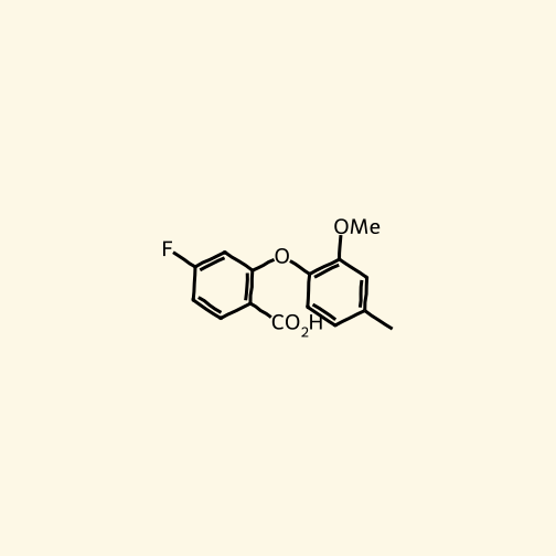 COc1cc(C)ccc1Oc1cc(F)ccc1C(=O)O